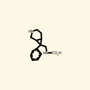 O=C(O)NCC1(c2ccccc2)C2CCNCC21